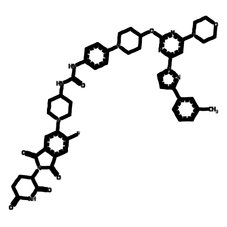 Cc1cccc(-c2ccn(-c3cc(N4CCOCC4)nc(OC4CCN(c5ccc(NC(=O)NC6CCN(c7cc8c(cc7F)C(=O)N(C7CCC(=O)NC7=O)C8=O)CC6)cc5)CC4)n3)n2)c1